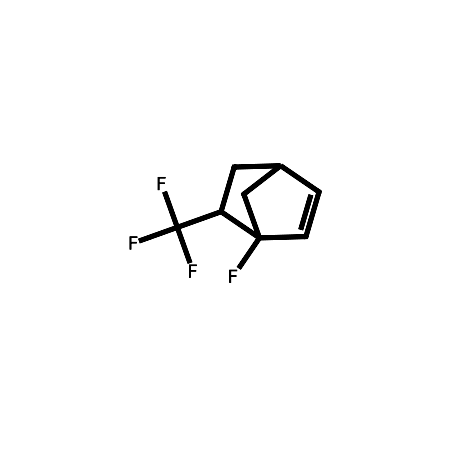 FC(F)(F)C1CC2C=CC1(F)C2